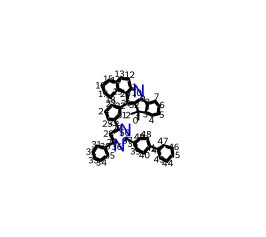 CC1(C)c2ccccc2-c2nc3ccc4ccccc4c3c(-c3cccc(-c4cc(-c5ccccc5)nc(-c5ccc(-c6ccccc6)cc5)n4)c3)c21